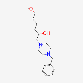 [O]CCCCC(O)CN1CCN(Cc2ccccc2)CC1